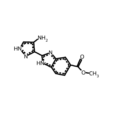 COC(=O)c1ccc2[nH]c(-c3n[nH]cc3N)nc2c1